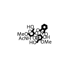 COC1OC(CO)C(OC2OC(CO)C(OC)C(O)C2N2C(=O)c3ccccc3C2=O)C(O)C1NC(C)=O